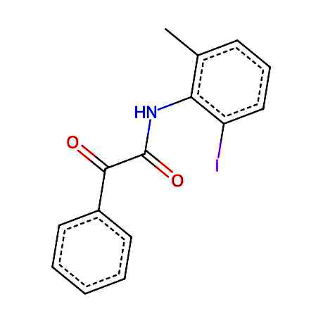 Cc1cccc(I)c1NC(=O)C(=O)c1ccccc1